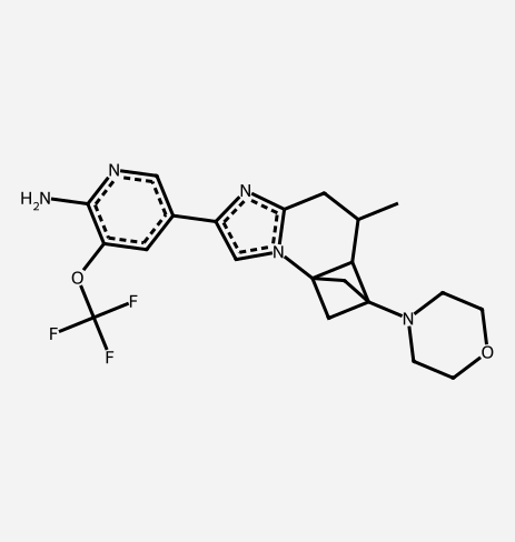 CC1Cc2nc(-c3cnc(N)c(OC(F)(F)F)c3)cn2C23CC(N4CCOCC4)(C2)C13